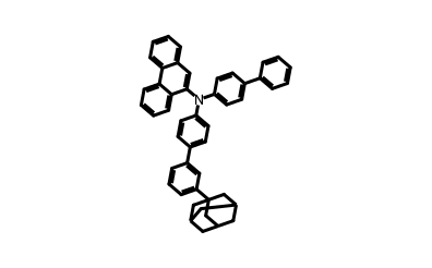 c1ccc(-c2ccc(N(c3ccc(-c4cccc(C56CC7CC(CC(C7)C5)C6)c4)cc3)c3cc4ccccc4c4ccccc34)cc2)cc1